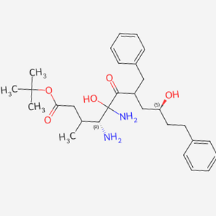 CC(CC(=O)OC(C)(C)C)[C@@H](N)C(N)(O)C(=O)C(Cc1ccccc1)C[C@@H](O)CCc1ccccc1